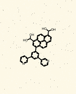 OC(O)c1ccc2ccc3c(-c4cc(-c5cccnc5)cc(-c5cccnc5)c4)cc(C(O)O)c4ccc1c2c34